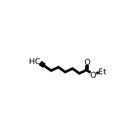 C#CCCCCCC(=O)OCC